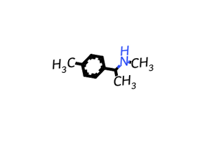 CNC(C)c1ccc(C)cc1